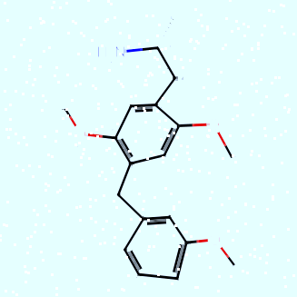 COc1cccc(Cc2cc(OC)c(C[C@@H](C)N)cc2OC)c1